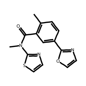 Cc1ccc(-c2ncco2)cc1C(=O)N(C)c1nccs1